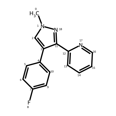 Cn1cc(-c2ccc(F)cc2)c(-c2ccccn2)n1